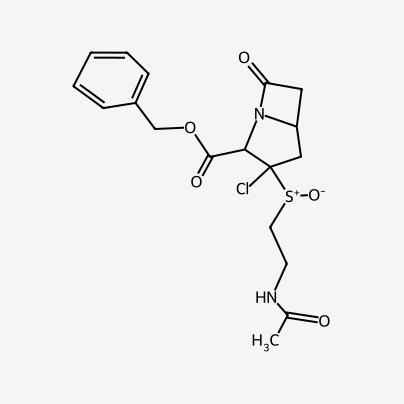 CC(=O)NCC[S+]([O-])C1(Cl)CC2CC(=O)N2C1C(=O)OCc1ccccc1